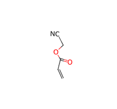 C=CC(=O)OCC#N